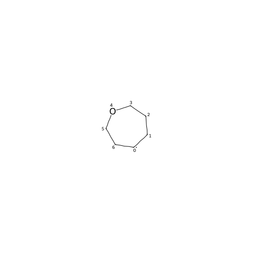 [CH]1CCCOCC1